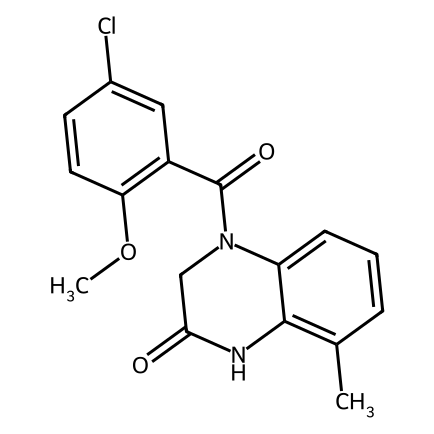 COc1ccc(Cl)cc1C(=O)N1CC(=O)Nc2c(C)cccc21